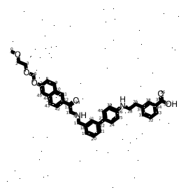 COCCOCOc1ccc2cc(C(=O)CNCc3cccc(-c4ccc(NCCc5cccc(C(=O)O)c5)cc4)c3)ccc2c1